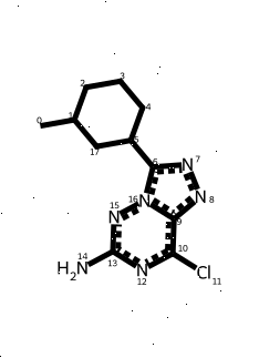 CC1CCCC(c2nnc3c(Cl)nc(N)nn23)C1